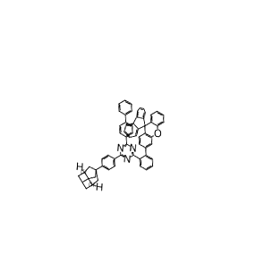 c1ccc(-c2ccc(-c3nc(-c4ccc(C56C[C@@H]7CC8C[C@@H](C5)C87C6)cc4)nc(-c4ccccc4-c4ccc5c(c4)Oc4ccccc4C54c5ccccc5-c5ccccc54)n3)cc2)cc1